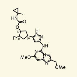 COCc1cn2c(Nc3cc([C@H]4C[C@@H](F)[C@@H](OC(=O)NC5(C)CC5)C4)[nH]n3)nc(OC)cc2n1